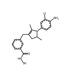 CC1=C(Cc2cccc(C(=O)NC(C)C)c2)CN(C)N1c1ccc(N)c(Cl)c1